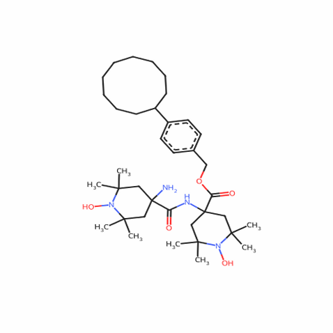 CC1(C)CC(N)(C(=O)NC2(C(=O)OCc3ccc(C4CCCCCCCCC4)cc3)CC(C)(C)N(O)C(C)(C)C2)CC(C)(C)N1O